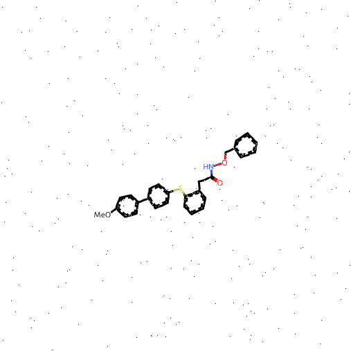 COc1ccc(-c2ccc(Sc3ccccc3CC(=O)NOCc3ccccc3)cc2)cc1